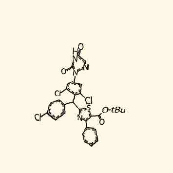 CC(C)(C)OC(=O)c1sc(C(c2ccc(Cl)cc2)c2c(Cl)cc(-n3ncc(=O)[nH]c3=O)cc2Cl)nc1-c1ccccc1